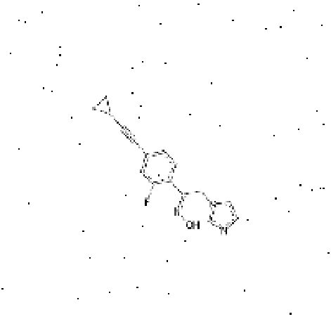 O/N=C(\Cn1ccnc1)c1ccc(C#CC2CC2)cc1F